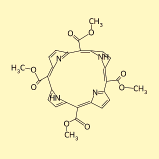 COC(=O)c1c2nc(c(C(=O)OC)c3ccc([nH]3)c(C(=O)OC)c3nc(c(C(=O)OC)c4ccc1[nH]4)C=C3)C=C2